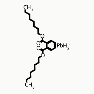 CCCCCCCCOC(=O)c1ccccc1C(=O)OCCCCCCCC.[PbH2]